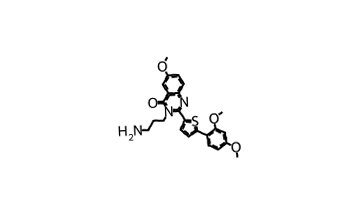 COc1ccc(-c2ccc(-c3nc4ccc(OC)cc4c(=O)n3CCCN)s2)c(OC)c1